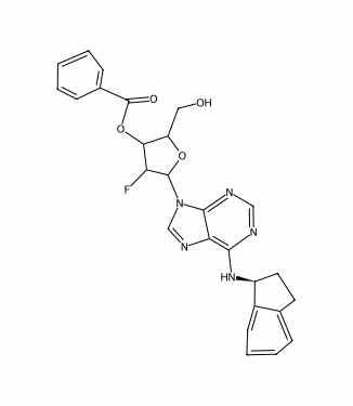 O=C(OC1C(CO)OC(n2cnc3c(N[C@H]4CCc5ccccc54)ncnc32)C1F)c1ccccc1